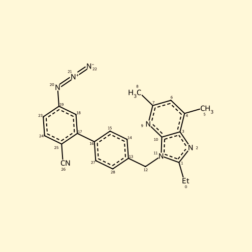 CCc1nc2c(C)cc(C)nc2n1Cc1ccc(-c2cc(N=[N+]=[N-])ccc2C#N)cc1